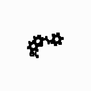 Cc1ccc2cnc(CCc3ccccc3)nc2c1